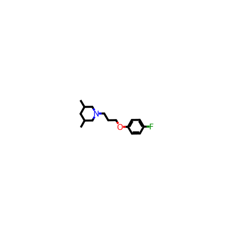 CC1CC(C)CN(CCCOc2ccc(F)cc2)C1